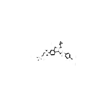 CC1(C(=O)N2Cc3cc(S(=O)(=O)CCO[Si](C)(C)C(C)(C)C)ccc3C2C(=O)Nc2ccc(C(O)(C(F)(F)F)C(F)(F)F)cc2)CC1